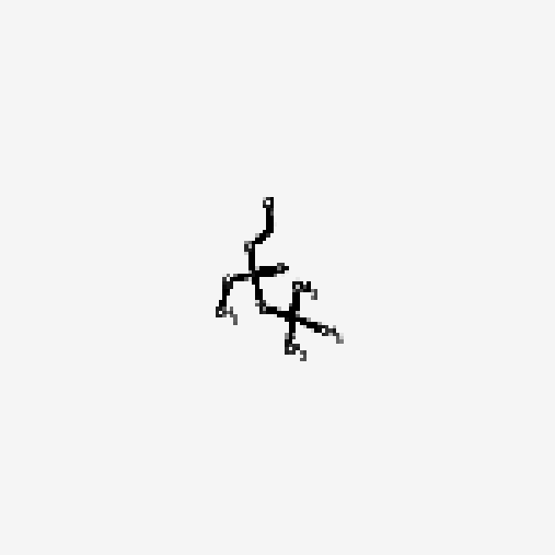 COP(=O)(OCCl)OC(C)(C)C